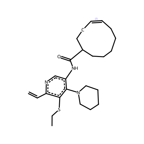 C=Cc1ncc(NC(=O)C2CC/C=C\CCCCC2)c(N2CCCCC2)c1SCC